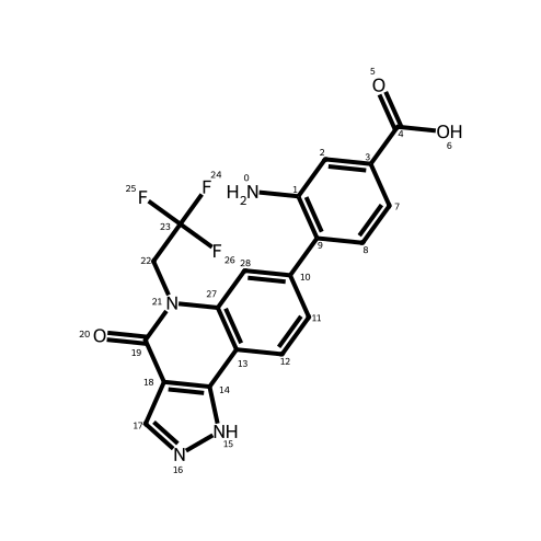 Nc1cc(C(=O)O)ccc1-c1ccc2c3[nH]ncc3c(=O)n(CC(F)(F)F)c2c1